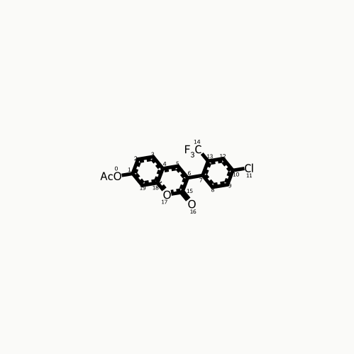 CC(=O)Oc1ccc2cc(-c3ccc(Cl)cc3C(F)(F)F)c(=O)oc2c1